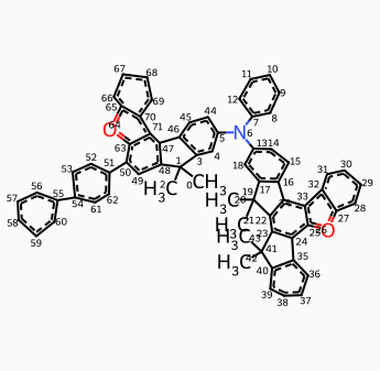 CC1(C)c2cc(N(c3ccccc3)c3ccc4c(c3)C(C)(C)c3c5c(c6oc7ccccc7c6c3-4)-c3ccccc3C5(C)C)ccc2-c2c1cc(-c1ccc(-c3ccccc3)cc1)c1oc3ccccc3c21